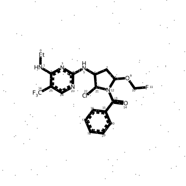 CCNc1nc(NC2CC(OCF)N(C(=O)c3ccccc3)C2Cl)ncc1C(F)(F)F